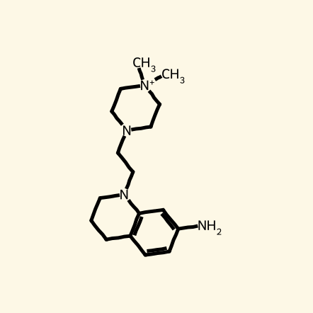 C[N+]1(C)CCN(CCN2CCCc3ccc(N)cc32)CC1